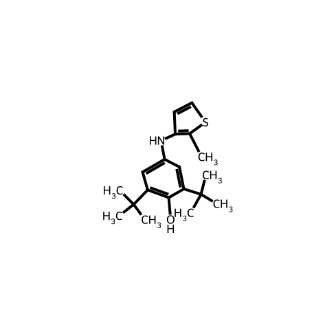 Cc1sccc1Nc1cc(C(C)(C)C)c(O)c(C(C)(C)C)c1